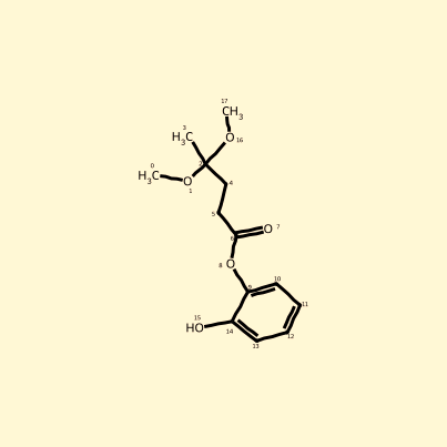 COC(C)(CCC(=O)Oc1ccccc1O)OC